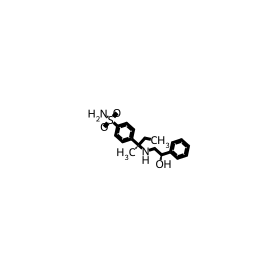 CC[C@@](C)(NC[C@H](O)c1ccccc1)c1ccc(S(N)(=O)=O)cc1